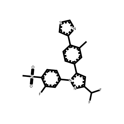 Cc1cc(-c2cc(C(F)F)nn2-c2ccc(S(C)(=O)=O)c(F)c2)ccc1-c1cscn1